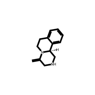 C=C1CNC[C@@H]2c3ccccc3CCN12